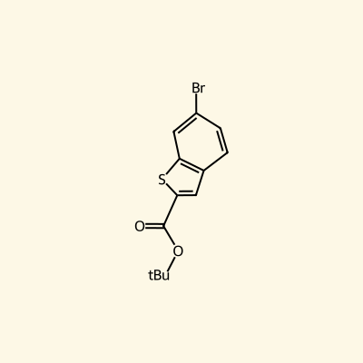 CC(C)(C)OC(=O)c1cc2ccc(Br)cc2s1